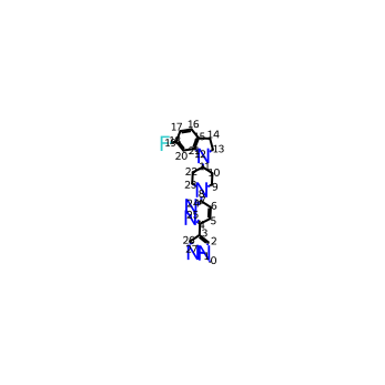 Cn1cc(-c2ccc(N3CCC(N4CCc5ccc(F)cc54)CC3)nn2)cn1